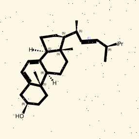 CC(C)[C@@H](C)/C=C/[C@H](C)[C@@H]1CC[C@@H]2C3=CC=C4C[C@H](O)CC[C@@]4(C)[C@@H]3CC[C@]21C